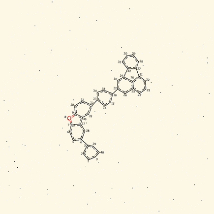 c1ccc(-c2ccc3oc4ccc(-c5ccc(-c6cc7c8c(cccc8c6)-c6ccccc6-7)cc5)cc4c3c2)cc1